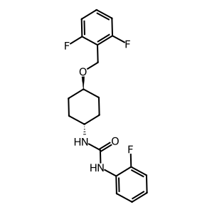 O=C(Nc1ccccc1F)N[C@H]1CC[C@H](OCc2c(F)cccc2F)CC1